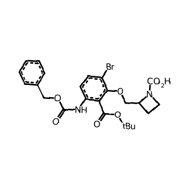 CC(C)(C)OC(=O)c1c(NC(=O)OCc2ccccc2)ccc(Br)c1OCC1CCN1C(=O)O